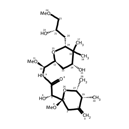 C=C1C[C@](OC)([C@H](O)C(=O)N[C@@H](OC)[C@@H]2C[C@@H](O)C(C)(C)[C@@H](C[C@H](O)COC)O2)O[C@H](C)[C@@H]1C